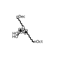 CCCCCCCC/C=C\CCCCCCCC(=O)O[C@H](COCCCCCCCCCCCCCCCCCC)COP(=O)(O)OC[C@@H](O)CO